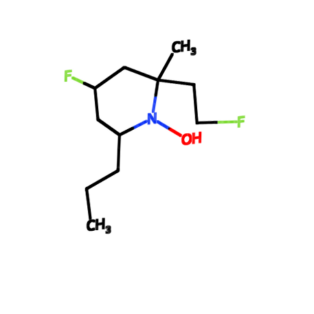 CCCC1CC(F)CC(C)(CCF)N1O